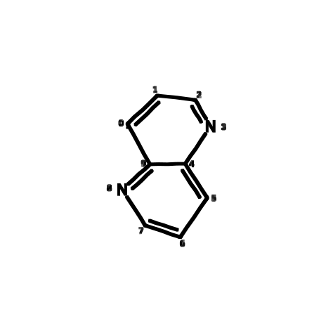 [c]1ccnc2cccnc12